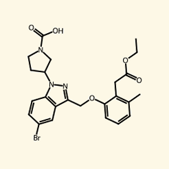 CCOC(=O)Cc1c(C)cccc1OCc1nn(C2CCN(C(=O)O)C2)c2ccc(Br)cc12